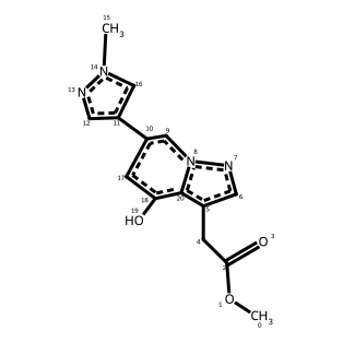 COC(=O)Cc1cnn2cc(-c3cnn(C)c3)cc(O)c12